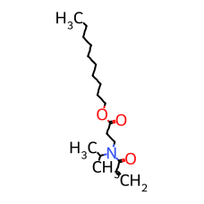 C=CC(=O)N(CCC(=O)OCCCCCCCCCC)C(C)C